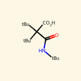 CC(C)(C)NC(=O)C(C(=O)O)(C(C)(C)C)C(C)(C)C